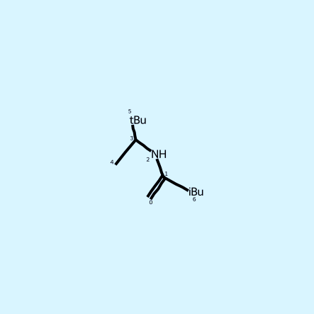 C=C(NC(C)C(C)(C)C)C(C)CC